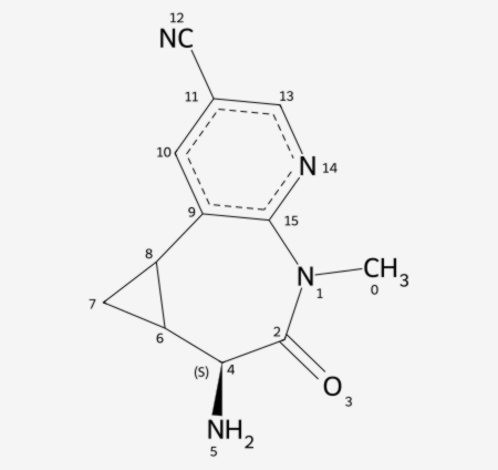 CN1C(=O)[C@@H](N)C2CC2c2cc(C#N)cnc21